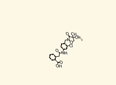 CC1(C)CON(Cc2ccc(NC(=O)Cc3ccccc3C(=O)O)cc2Cl)C1=O